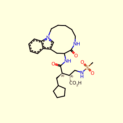 CS(=O)(=O)NC[C@H](C(=O)O)[C@@H](CC1CCCC1)C(=O)NC1Cc2cn(c3ccccc23)CCCCCNC1=O